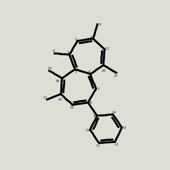 CC1=CC(C)=C2C(=CC(c3ccccc3)=CC(C)=C2C)C(C)=C1